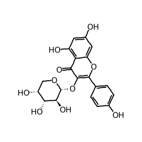 O=c1c(O[C@H]2OC[C@@H](O)[C@@H](O)[C@@H]2O)c(-c2ccc(O)cc2)oc2cc(O)cc(O)c12